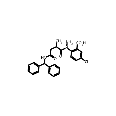 CC(CC(=O)NC(c1ccccc1)c1ccccc1)C(=O)N(N)c1ccc(Cl)cc1C(=O)O